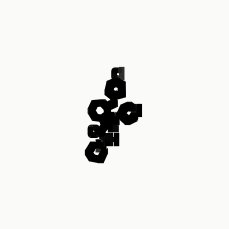 O=C(NN1CCCCC1)c1nn(-c2ccncc2)c2c1CCCCC2=Cc1ccc(Cl)cc1